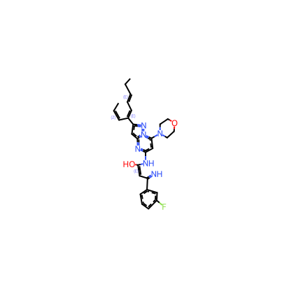 C\C=C/C(=C\C=C\CC)c1cc2nc(N/C(O)=C\C(=N)c3cccc(F)c3)cc(N3CCOCC3)n2n1